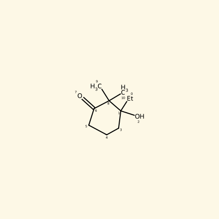 CCC1(O)CCCC(=O)C1(C)C